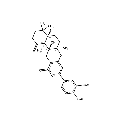 COc1ccc(-c2cc3c(c(=O)o2)C[C@]2(O)[C@@]4(C)C(=O)CCC(C)(C)[C@]4(O)CC[C@@]2(C)O3)cc1OC